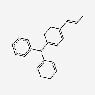 CC=CC1=CC=C(N(C2=CCCC=C2)c2ccccc2)CC1